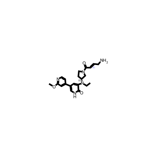 CCN(c1cc(-c2ccnc(OC)c2)c[nH]c1=O)[C@H]1CCN(C(=O)/C=C/CN)C1